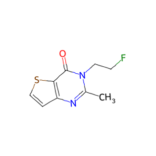 Cc1nc2ccsc2c(=O)n1CCF